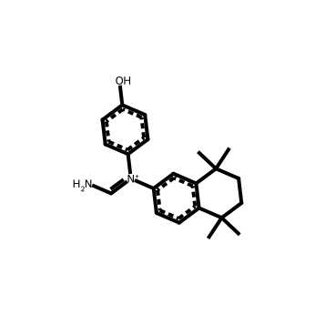 CC1(C)CCC(C)(C)c2cc([N+](=CN)c3ccc(O)cc3)ccc21